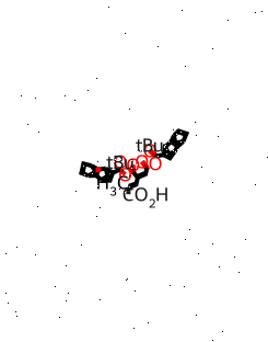 CC(=C/C(=C/C(=O)OC(=O)C1CC2CC1(C(C)(C)C)C1C3C=CC(C3)C21)C(=O)OC(=O)C1CC2CC1(C(C)(C)C)C1C3C=CC(C3)C21)C(=O)O